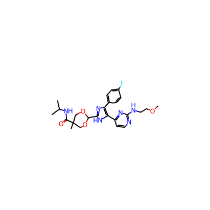 COCCNc1nccc(-c2[nH]c(C3OCC(C)(C(=O)NC(C)C)CO3)nc2-c2ccc(F)cc2)n1